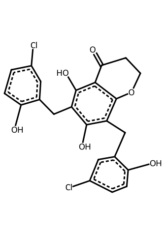 O=C1CCOc2c(Cc3cc(Cl)ccc3O)c(O)c(Cc3cc(Cl)ccc3O)c(O)c21